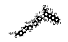 CNC(=O)C1CCC(CN2C(=O)CC(CC(=O)N3CCN4[C@H](O[C@@H]5[C@H](C)O[C@@H](O[C@H]6C[C@](O)(C(=O)CO)Cc7c(O)c8c(c(O)c76)C(=O)c6c(OC)cccc6C8=O)C[C@@H]54)[C@H]3OC)C2=O)CC1